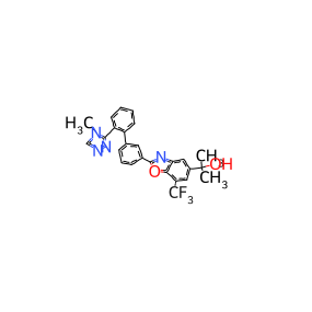 Cn1cnnc1-c1ccccc1-c1cccc(-c2nc3cc(C(C)(C)O)cc(C(F)(F)F)c3o2)c1